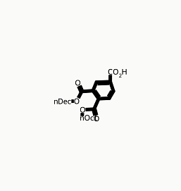 CCCCCCCCCCOC(=O)c1cc(C(=O)O)ccc1C(=O)OCCCCCCCC